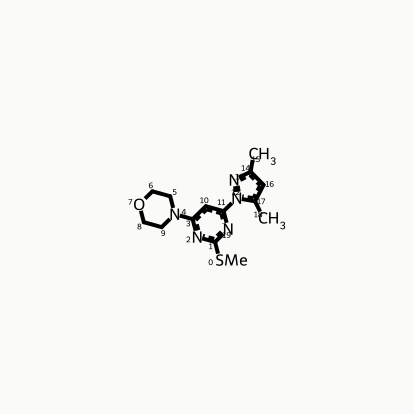 CSc1nc(N2CCOCC2)cc(-n2nc(C)cc2C)n1